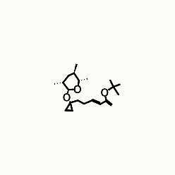 C=C(/C=C/CCC1(O[C@@H]2O[C@@H](C)[C@H](C)C[C@H]2C)CC1)OC(C)(C)C